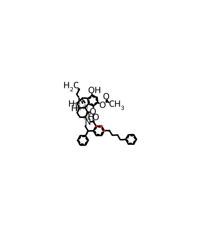 C=CCN1CC[C@]23c4c5c(O)cc(OC(C)=O)c4O[C@H]2[C@@H](N(CC(c2ccccc2)c2ccccc2)C(=O)CCCCCCCc2ccccc2)CC[C@H]3[C@H]1C5